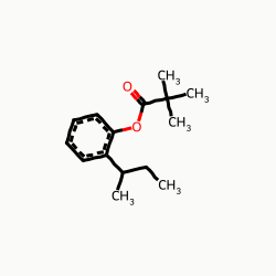 CCC(C)c1ccccc1OC(=O)C(C)(C)C